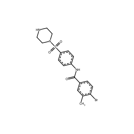 Cc1cc(C(=O)Nc2ccc(S(=O)(=O)N3CCNCC3)cc2)ccc1Br